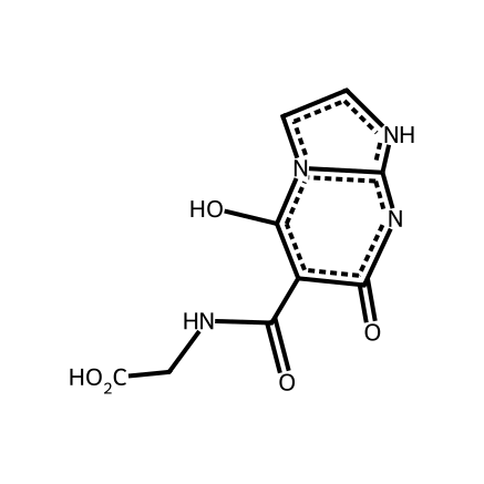 O=C(O)CNC(=O)c1c(O)n2cc[nH]c2nc1=O